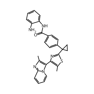 Cc1nc2ccccn2c1-c1nc(C2(c3ccc(C(=O)Nc4ccccc4N)cc3)CC2)sc1C